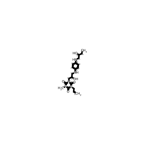 C=CCn1c(=O)n(C)c(=O)n(CC(O)CNc2ccc(NCC(O)CC)cc2)c1=O